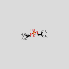 CC(=O)OC(C)COP(=O)(O)OCC(C)OC(C)=O